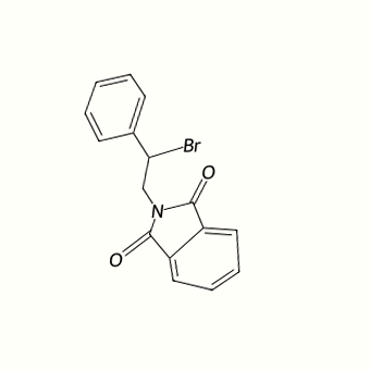 O=C1c2ccccc2C(=O)N1CC(Br)c1ccccc1